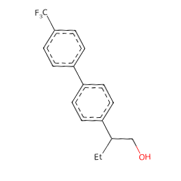 CCC(CO)c1ccc(-c2ccc(C(F)(F)F)cc2)cc1